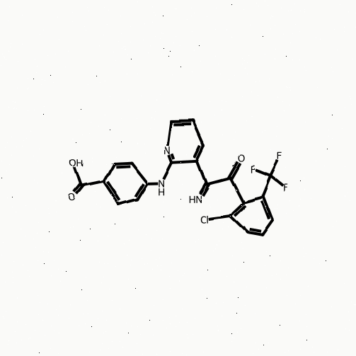 N=C(C(=O)c1c(Cl)cccc1C(F)(F)F)c1cccnc1Nc1ccc(C(=O)O)cc1